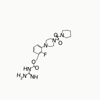 N=C(N)NC(=O)OCc1cccc(N2CCN(S(=O)(=O)N3CCCCC3)CC2)c1F